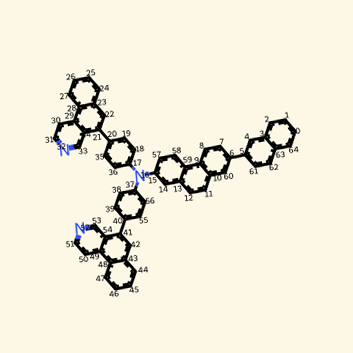 c1ccc2cc(-c3ccc4c(ccc5cc(N(c6ccc(-c7cc8ccccc8c8ccncc78)cc6)c6ccc(-c7cc8ccccc8c8ccncc78)cc6)ccc54)c3)ccc2c1